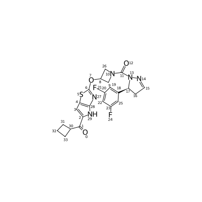 O=C(c1cc2sc(OC3CN(C(=O)N4N=CC[C@H]4c4cc(F)cc(F)c4)C3)nc2[nH]1)C1CCC1